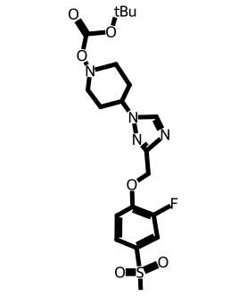 CC(C)(C)OC(=O)ON1CCC(n2cnc(COc3ccc(S(C)(=O)=O)cc3F)n2)CC1